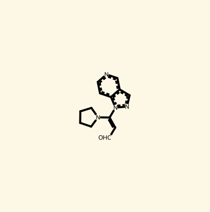 O=CC=C(N1CCCC1)n1ncc2cnccc21